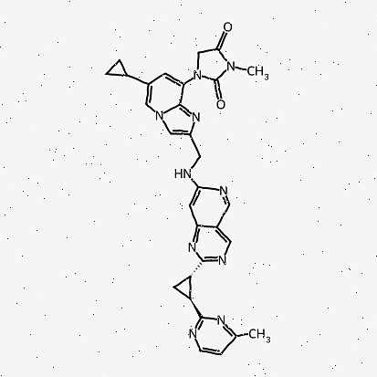 Cc1ccnc([C@H]2C[C@@H]2c2ncc3cnc(NCc4cn5cc(C6CC6)cc(N6CC(=O)N(C)C6=O)c5n4)cc3n2)n1